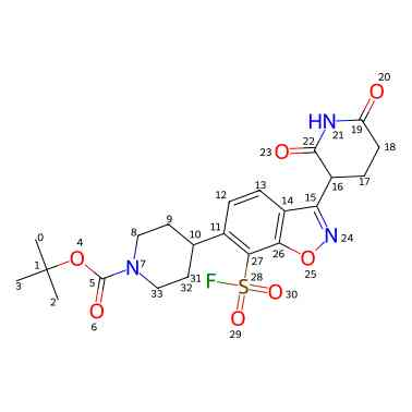 CC(C)(C)OC(=O)N1CCC(c2ccc3c(C4CCC(=O)NC4=O)noc3c2S(=O)(=O)F)CC1